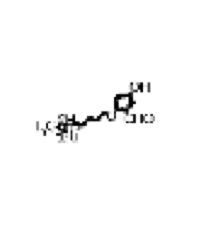 CC(C)(C)[Si](C)(C)OCCCCCOc1ccc(O)cc1C=O